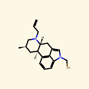 C=CCN1C[C@H](C)C[C@@H]2c3cccc4c3c(cn4CS)C[C@H]21